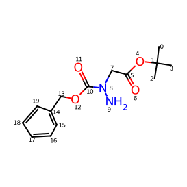 CC(C)(C)OC(=O)CN(N)C(=O)OCc1ccccc1